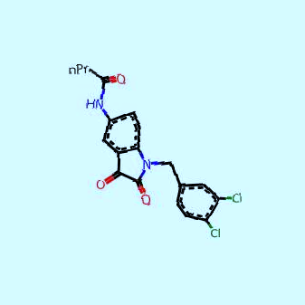 CCCC(=O)Nc1ccc2c(c1)C(=O)C(=O)N2Cc1ccc(Cl)c(Cl)c1